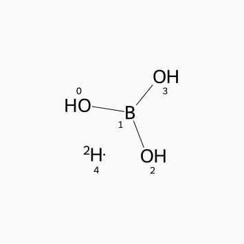 OB(O)O.[2H]